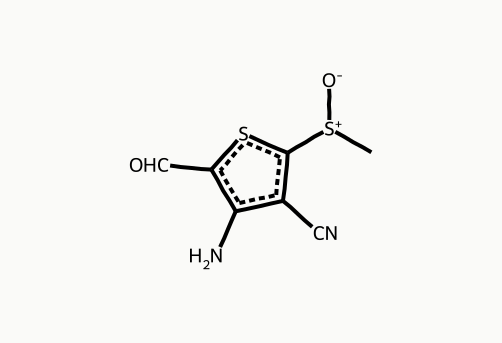 C[S+]([O-])c1sc(C=O)c(N)c1C#N